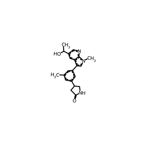 Cc1cc(-c2cn(C)c3ncc(C(C)O)cc23)cc(C2CNC(=O)C2)c1